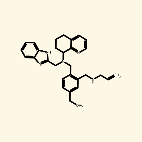 C=CCNCc1cc(COC(C)=O)ccc1CN(Cc1nc2ccccc2[nH]1)C1CCCc2cccnc21